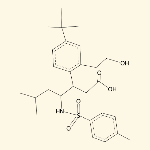 Cc1ccc(S(=O)(=O)NC(CC(C)C)C(CC(=O)O)c2ccc(C(C)(C)C)cc2CCO)cc1